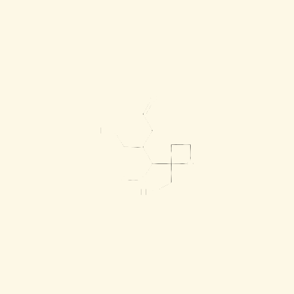 CCC(CC=O)C(OC)C1(CC)CCO1